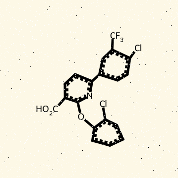 O=C(O)c1ccc(-c2ccc(Cl)c(C(F)(F)F)c2)nc1Oc1ccccc1Cl